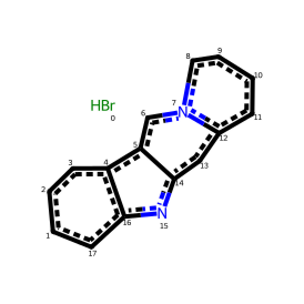 Br.c1ccc2c3cn4ccccc4cc-3nc2c1